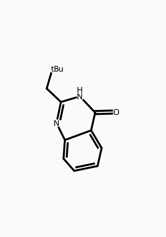 CC(C)(C)Cc1nc2ccccc2c(=O)[nH]1